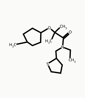 CCN(CC1CCCS1)C(=O)C(C)(C)OC1CCC(C)CC1